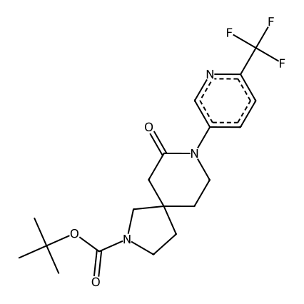 CC(C)(C)OC(=O)N1CCC2(CCN(c3ccc(C(F)(F)F)nc3)C(=O)C2)C1